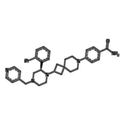 CC(C)c1ccccc1[C@@H]1CN(Cc2ccncc2)CCN1C1CC2(CCN(c3ccc(C(N)=O)cc3)CC2)C1